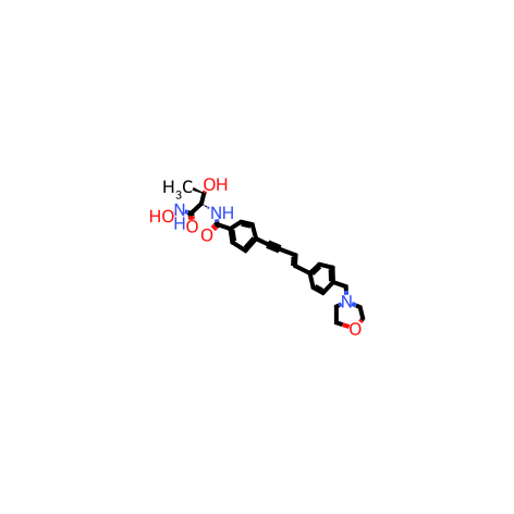 C[C@@H](O)[C@H](NC(=O)c1ccc(C#CC=Cc2ccc(CN3CCOCC3)cc2)cc1)C(=O)NO